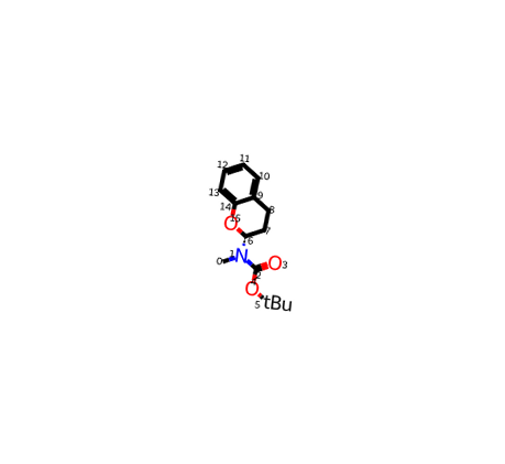 CN(C(=O)OC(C)(C)C)[C@H]1CCc2ccccc2O1